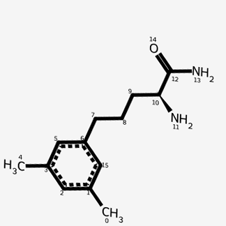 Cc1cc(C)cc(CCC[C@H](N)C(N)=O)c1